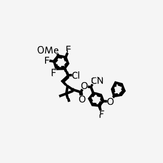 COc1c(F)cc(C(Cl)=CC2C(C(=O)OC(C#N)c3ccc(F)c(Oc4ccccc4)c3)C2(C)C)c(F)c1F